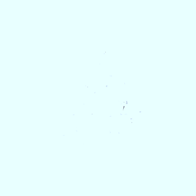 Cc1cc([C@@H](NS(=O)(=O)c2cncc(F)c2)C(F)(F)F)ccc1C(F)(F)F